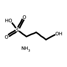 N.O=S(=O)(O)CCCO